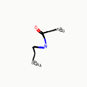 CCCCC[N]C(=O)CCCC